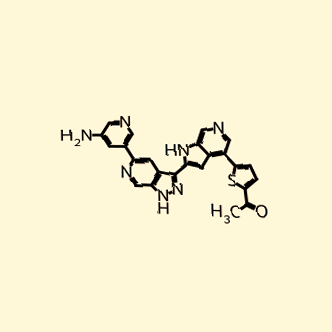 CC(=O)c1ccc(-c2cncc3[nH]c(-c4n[nH]c5cnc(-c6cncc(N)c6)cc45)cc23)s1